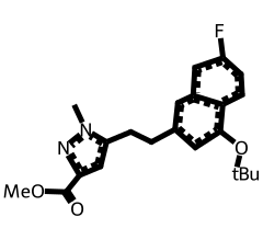 COC(=O)c1cc(CCc2cc(OC(C)(C)C)c3ccc(F)cc3c2)n(C)n1